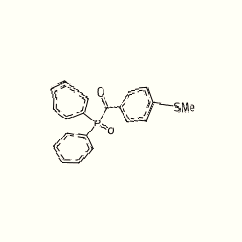 CSc1ccc(C(=O)P(=O)(c2ccccc2)c2ccccc2)cc1